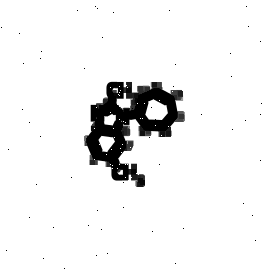 Cc1ccc2nc(C)n(C3=CC=CCC=C3)c2c1